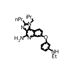 CCCc1nc2c(N)nc3cc(Oc4cccc(NCC)c4)ccc3c2n1CC(C)C